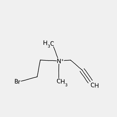 C#CC[N+](C)(C)CCBr